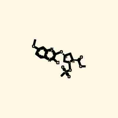 COC(=O)[C@@H]1C[C@@H](Oc2nc3cc(OC)ccc3nc2Cl)CN1OS(C)(=O)=O